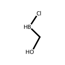 OCBCl